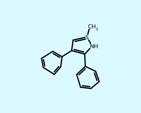 CS1=CC(c2ccccc2)=C(c2ccccc2)N1